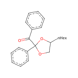 CCCCCCC1COC(C(=O)c2ccccc2)(c2ccccc2)O1